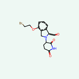 O=C=C1c2cccc(OCCBr)c2CN1C1CCC(=O)NC1=O